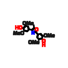 COc1cc(-c2nc(-c3cc(OC)c(O)c(OC)c3)c(C)o2)cc(OC)c1O